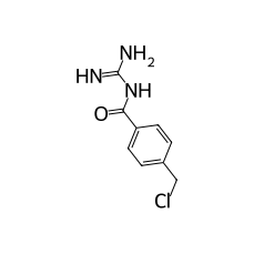 N=C(N)NC(=O)c1ccc(CCl)cc1